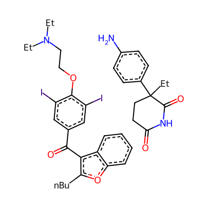 CCC1(c2ccc(N)cc2)CCC(=O)NC1=O.CCCCc1oc2ccccc2c1C(=O)c1cc(I)c(OCCN(CC)CC)c(I)c1